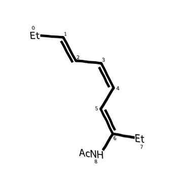 CC/C=C/C=C\C=C(/CC)NC(C)=O